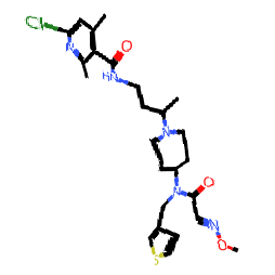 CON=CC(=O)N(Cc1ccsc1)C1CCN(C(C)CCNC(=O)c2c(C)cc(Cl)nc2C)CC1